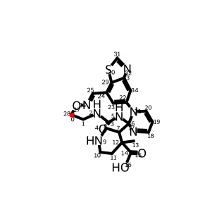 CCNC(=O)NC1(C2CNCCC2(C)C(=O)O)N=CC=CN1c1cc(/C=N/OC)c2scnc2c1